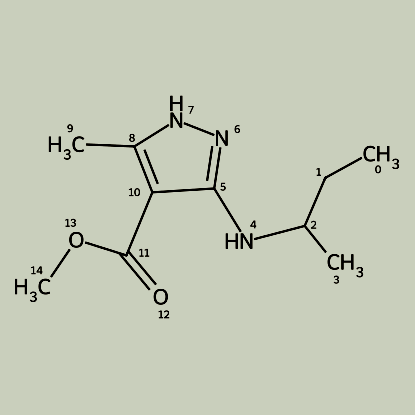 CCC(C)Nc1n[nH]c(C)c1C(=O)OC